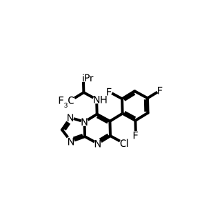 CC(C)C(Nc1c(-c2c(F)cc(F)cc2F)c(Cl)nc2ncnn12)C(F)(F)F